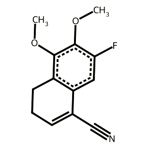 COc1c(F)cc2c(c1OC)CCC=C2C#N